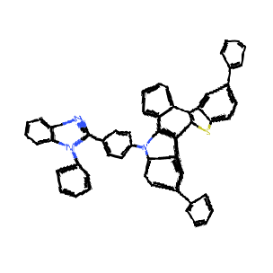 c1ccc(-c2ccc3sc4c(c3c2)c2ccccc2c2c4c3cc(-c4ccccc4)ccc3n2-c2ccc(-c3nc4ccccc4n3-c3ccccc3)cc2)cc1